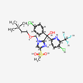 C[Si](C)(C)CCOCn1cc(S(C)(=O)=O)nc1C(O)(c1ccc(Cl)cc1)c1ccc(Cl)c(C(F)(F)F)n1